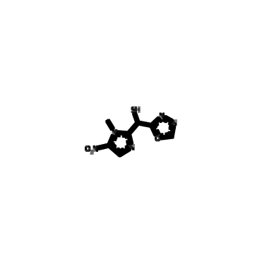 Cn1c([N+](=O)[O-])cnc1C(S)c1nnco1